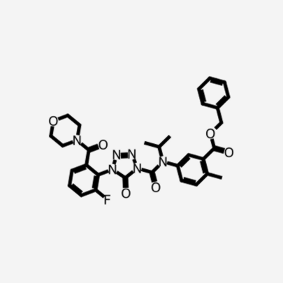 Cc1ccc(N(C(=O)n2nnn(-c3c(F)cccc3C(=O)N3CCOCC3)c2=O)C(C)C)cc1C(=O)OCc1ccccc1